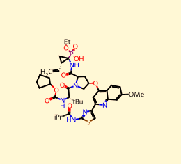 C=C[C@@H]1C[C@]1(NC(=O)C1C[C@@H](Oc2cc(-c3csc(NC(=O)C(C)C)n3)nc3cc(OC)ccc23)CN1C(=O)[C@@H](NC(=O)OC1CCCC1)C(C)(C)C)P(=O)(O)OCC